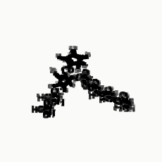 CC1=C(C)C(C)(C)[C]([Co][C]2=C(C)C(C)=C(C)C2(C)C)=C1C.O=P(O)(O)F.O=P(O)(O)F.O=P(O)(O)F.O=P(O)(O)F.O=P(O)(O)F.O=P(O)(O)F